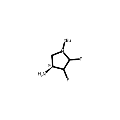 CC(C)(C)N1C[C@H](N)C(F)C1F